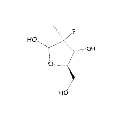 C[C@@]1(F)C(O)O[C@H](CO)[C@H]1O